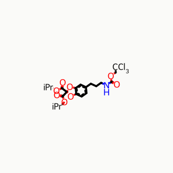 CC(C)OC(=O)C1(C(=O)OC(C)C)Oc2ccc(CCCNC(=O)OCC(Cl)(Cl)Cl)cc2O1